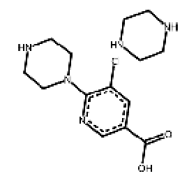 C1CNCCN1.O=C(O)c1cnc(N2CCNCC2)c(Cl)c1